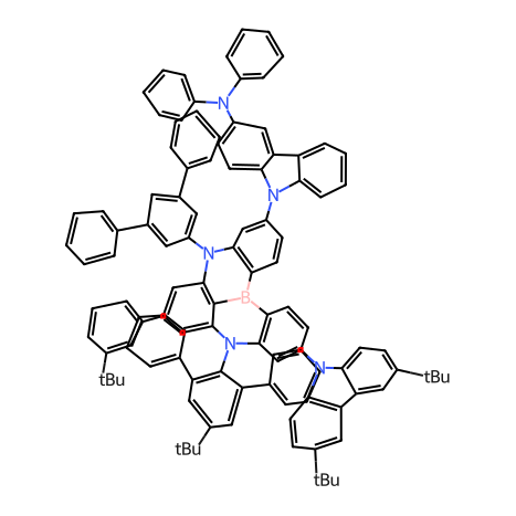 CC(C)(C)c1cccc(-c2cc3c4c(c2)N(c2c(-c5ccccc5)cc(C(C)(C)C)cc2-c2ccccc2)c2cc(-n5c6ccc(C(C)(C)C)cc6c6cc(C(C)(C)C)ccc65)ccc2B4c2ccc(-n4c5ccccc5c5cc(N(c6ccccc6)c6ccccc6)ccc54)cc2N3c2cc(-c3ccccc3)cc(-c3ccccc3)c2)c1